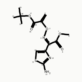 C=C(ON=C(C(=O)OC)c1csc(N)n1)C(=O)OC(C)(C)C